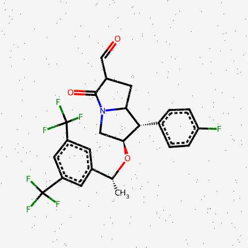 C[C@@H](O[C@H]1CN2C(=O)C(C=O)CC2[C@@H]1c1ccc(F)cc1)c1cc(C(F)(F)F)cc(C(F)(F)F)c1